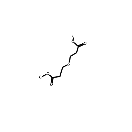 O=C(CCSCCC(=O)OCl)OCl